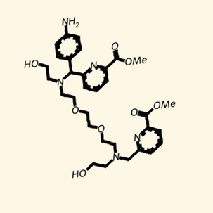 COC(=O)c1cccc(CN(CCO)CCOCCOCCN(CCO)C(c2ccc(N)cc2)c2cccc(C(=O)OC)n2)n1